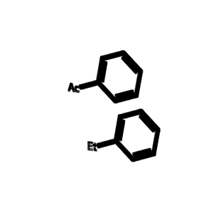 CC(=O)c1ccccc1.CCc1ccccc1